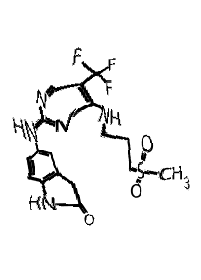 CS(=O)(=O)CCCNc1nc(Nc2ccc3c(c2)CC(=O)N3)ncc1C(F)(F)F